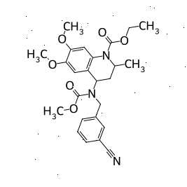 CCOC(=O)N1c2cc(OC)c(OC)cc2C(N(Cc2cccc(C#N)c2)C(=O)OC)CC1C